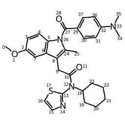 COc1ccc2c(c1)c(CC(=O)N(c1nccs1)C1CCCCC1)c(C)n2C(=O)c1ccc(N(C)C)cc1